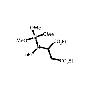 CCCN(C(CC(=O)OCC)C(=O)OCC)[Si](OC)(OC)OC